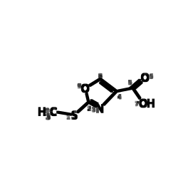 CSc1nc(C(=O)O)co1